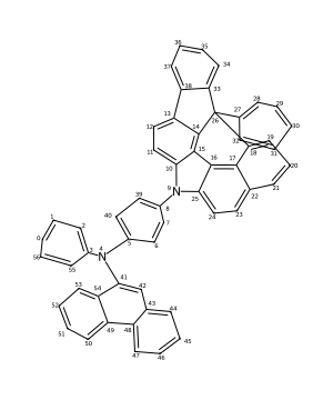 c1ccc(N(c2ccc(-n3c4ccc5c6c4c4c7c(cccc7ccc43)C6(c3ccccc3)c3ccccc3-5)cc2)c2cc3ccccc3c3ccccc23)cc1